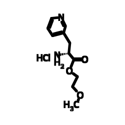 COCCOC(=O)[C@H](N)Cc1cccnc1.Cl